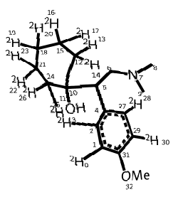 [2H]c1c([2H])c(C(CN(C)C)C2(O)C([2H])([2H])C([2H])([2H])C([2H])([2H])C([2H])([2H])C2([2H])[2H])c([2H])c([2H])c1OC